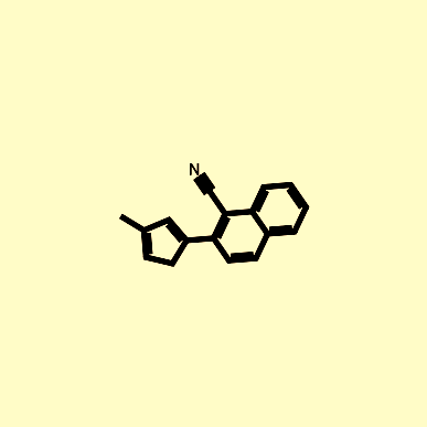 CC1=CCC(c2ccc3ccccc3c2C#N)=C1